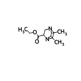 CCOC(=O)C1CN2CCN1C(C)C2C